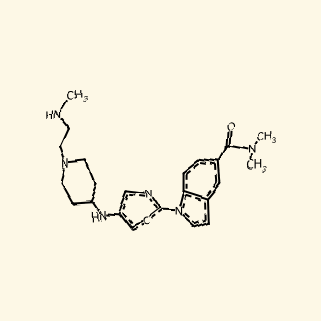 CNCCN1CCC(Nc2ccc(-n3ccc4cc(C(=O)N(C)C)ccc43)nc2)CC1